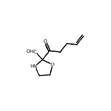 C=CCCC(=O)C1(C=O)NCCO1